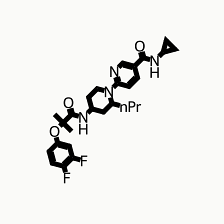 CCCC1CC(NC(=O)C(C)(C)Oc2ccc(F)c(F)c2)CCN1c1ccc(C(=O)NC2CC2)cn1